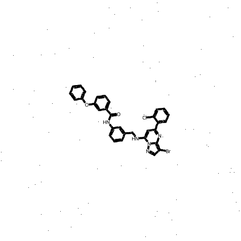 O=C(Nc1cccc(CNc2cc(-c3ccccc3Cl)nc3c(Br)cnn23)c1)c1cccc(Oc2ccccc2)c1